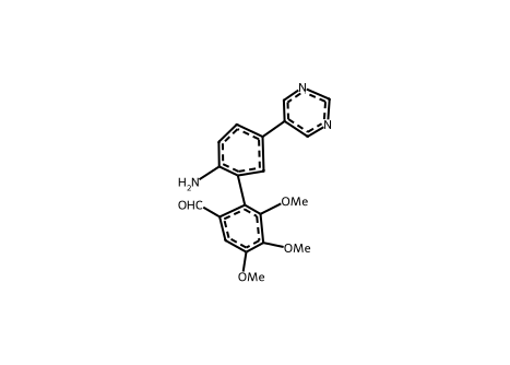 COc1cc(C=O)c(-c2cc(-c3cncnc3)ccc2N)c(OC)c1OC